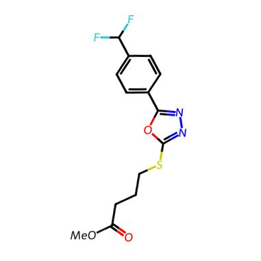 COC(=O)CCCSc1nnc(-c2ccc(C(F)F)cc2)o1